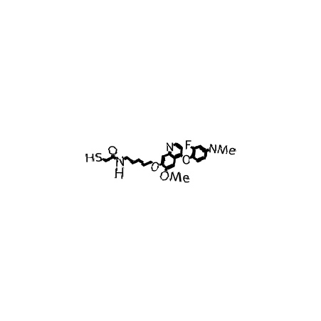 CNc1ccc(Oc2ccnc3cc(OCCCCCNC(=O)CS)c(OC)cc23)c(F)c1